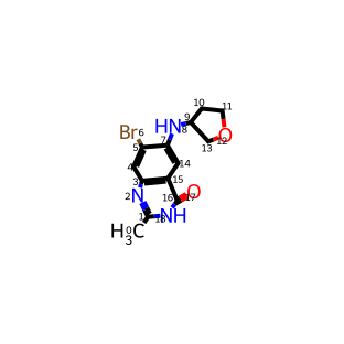 Cc1nc2cc(Br)c(NC3CCOC3)cc2c(=O)[nH]1